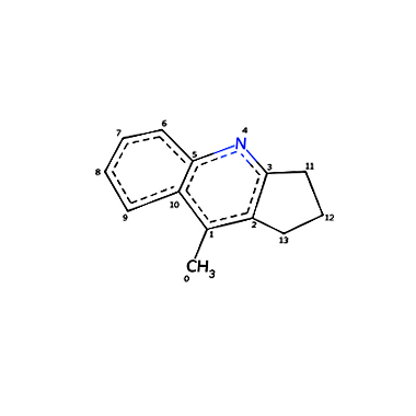 Cc1c2c(nc3ccccc13)CCC2